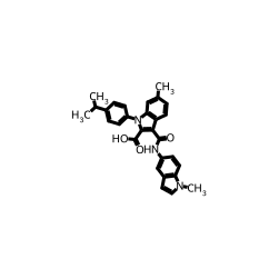 Cc1ccc2c(C(=O)Nc3ccc4c(ccn4C)c3)c(C(=O)O)n(-c3ccc(C(C)C)cc3)c2c1